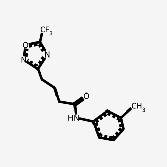 Cc1cccc(NC(=O)CCCc2noc(C(F)(F)F)n2)c1